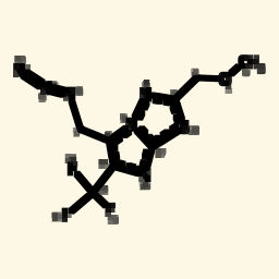 COCc1nn2c(CN=[N+]=[N-])c(C(F)(F)F)nc2s1